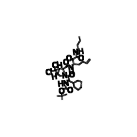 C=CCCC(NC(=O)[C@@H]1[C@@H]2[C@H](CN1C(=O)[C@@H](NC(=O)OC(C)(C)C)C1CCCCC1)C2(Cl)Cl)C(=O)C(=O)NCCCC